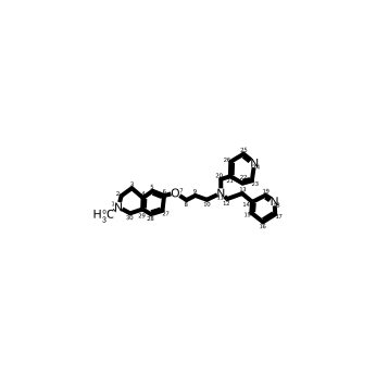 CN1CCc2cc(OCCCN(CCc3cccnc3)Cc3ccncc3)ccc2C1